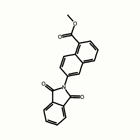 COC(=O)c1cccc2cc(N3C(=O)c4ccccc4C3=O)ccc12